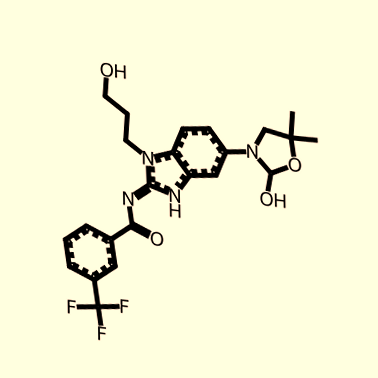 CC1(C)CN(c2ccc3c(c2)[nH]/c(=N\C(=O)c2cccc(C(F)(F)F)c2)n3CCCO)C(O)O1